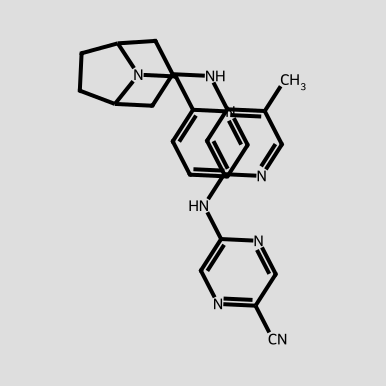 Cc1cnc(Nc2cnc(C#N)cn2)cc1NC1CC2CCC(C1)N2Cc1ccccn1